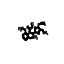 CCc1cccc(CC)c1N(CC1OC(CC)C(CC)O1)C(=O)CCl